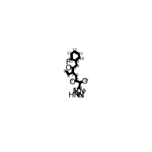 O=C(Cc1ccoc1Cc1ccccc1F)C(=O)c1nn[nH]n1